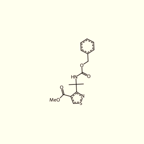 COC(=O)c1csnc1C(C)(C)NC(=O)OCc1ccccc1